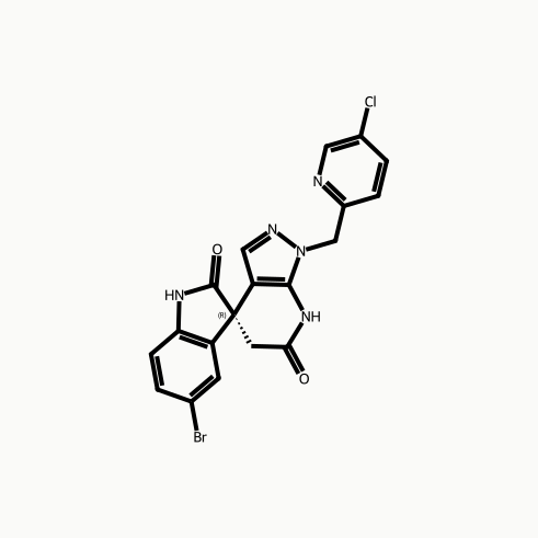 O=C1C[C@]2(C(=O)Nc3ccc(Br)cc32)c2cnn(Cc3ccc(Cl)cn3)c2N1